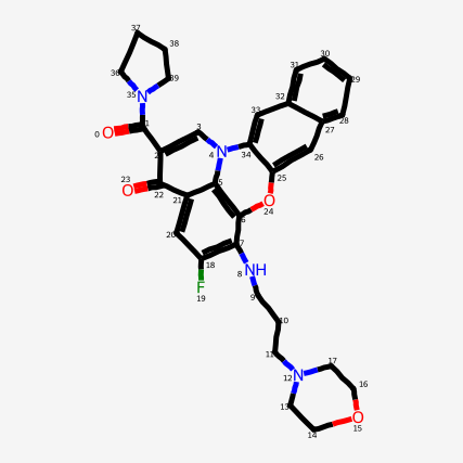 O=C(c1cn2c3c(c(NCCCN4CCOCC4)c(F)cc3c1=O)Oc1cc3ccccc3cc1-2)N1CCCC1